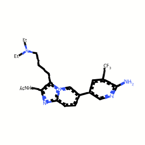 CCN(CC)CCCc1c(NC(C)=O)nc2ccc(-c3cnc(N)c(C(F)(F)F)c3)cn12